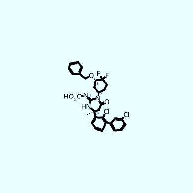 C[C@@]1(c2cccc(-c3cccc(Cl)c3)c2Cl)CC(=O)N([C@@H]2CCC(F)(F)[C@@H](OCc3ccccc3)C2)/C(=N/C(=O)O)N1